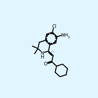 CC1(C)Cc2cc(Cl)c(N)cc2/C(=C/C(=O)C2CCCCC2)N1